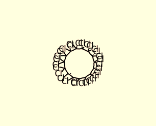 Cl[C]1C(Cl)(Cl)C(Cl)(Cl)C(Cl)(Cl)C(Cl)(Cl)C(Cl)(Cl)C(Cl)(Cl)C(Cl)(Cl)C(Cl)(Cl)C(Cl)(Cl)C(Cl)(Cl)C(Cl)(Cl)C(Cl)(Cl)C(Cl)(Cl)C1(Cl)Cl